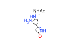 CC(=O)NC(C)Nc1ccc(-c2ccc(=O)[nH]n2)cc1N